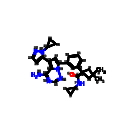 CC1(C)CC(C(=O)NC2CC2)(c2cccc(-c3cc(-c4ccnn4C4CC4)c4c(N)ncnn34)c2)C1